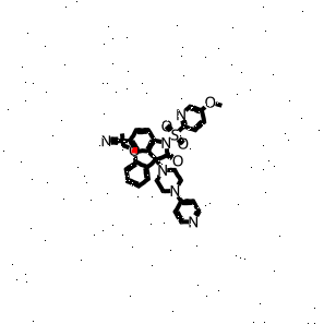 CCOc1ccccc1C1(N2CCN(c3ccncc3)CC2)C(=O)N(S(=O)(=O)c2ccc(OC)cn2)c2ccc(C#N)cc21